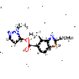 CNc1nc2c(C)c(C(=O)Oc3ccnn3C)ccc2s1